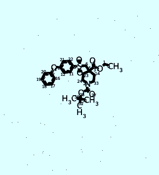 CCOC(=O)C1(CS(=O)(=O)c2ccc(Oc3ccccc3)cc2)CCN(C(=O)OC(C)(C)C)CC1